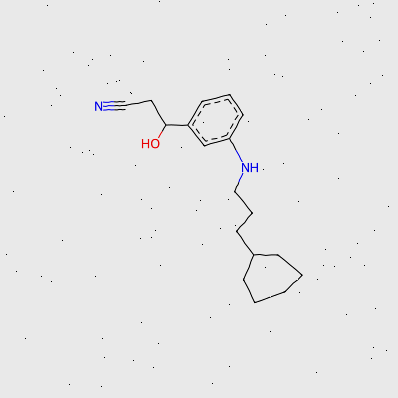 N#CCC(O)c1cccc(NCCCC2CCCCC2)c1